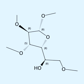 COC[C@@H](O)[C@H]1O[C@@H](OC)[C@H](OC)[C@H]1OC